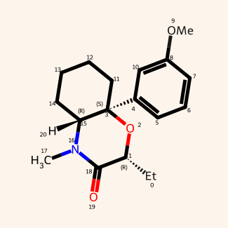 CC[C@H]1O[C@]2(c3cccc(OC)c3)CCCC[C@H]2N(C)C1=O